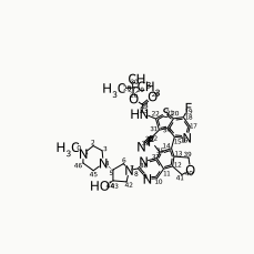 CN1CCN([C@@H]2CN(c3ncc4c5c(c(-c6ncc(F)c7sc(NC(=O)OC(C)(C)C)c(C#N)c67)c(F)c4n3)COC5)C[C@H]2O)CC1